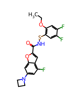 CCOc1cc(F)c(F)cc1SNC(=O)c1cc2c(F)cc(N3CCC3)cc2o1